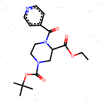 CCOC(=O)C1CN(C(=O)OC(C)(C)C)CCN1C(=O)c1ccncc1